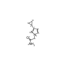 NC(=O)Cn1ccc(C2CC2)n1